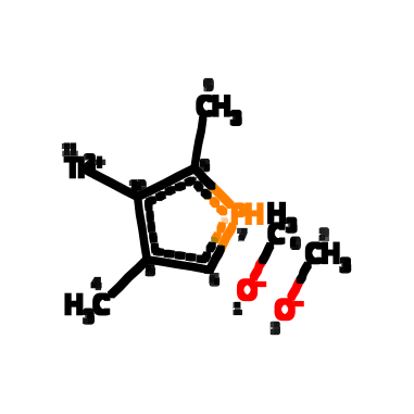 C[O-].C[O-].Cc1c[pH]c(C)[c]1[Ti+2]